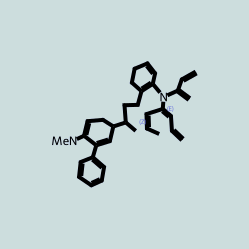 C=C/C=C(\C=C/C)N(C(=C)C=C)C1=C(CCC(C)C2C=C(c3ccccc3)C(NC)=CC2)CCC=C1